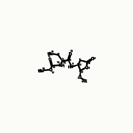 CCO[C@@H]1OC(=O)C[C@@H]1NC(=O)[C@H](CC(C)(C)C)NC(=O)OC(C)(C)C